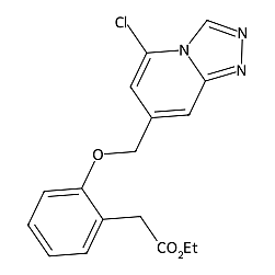 CCOC(=O)Cc1ccccc1OCc1cc(Cl)n2cnnc2c1